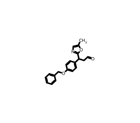 Cc1cnc(C(CC=O)c2ccc(OCc3ccccc3)cc2)o1